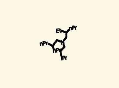 CCCC(CC)CN(CCC(C)C)CC(CCC)CCC